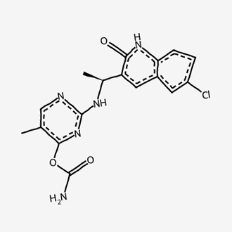 Cc1cnc(N[C@@H](C)c2cc3cc(Cl)ccc3[nH]c2=O)nc1OC(N)=O